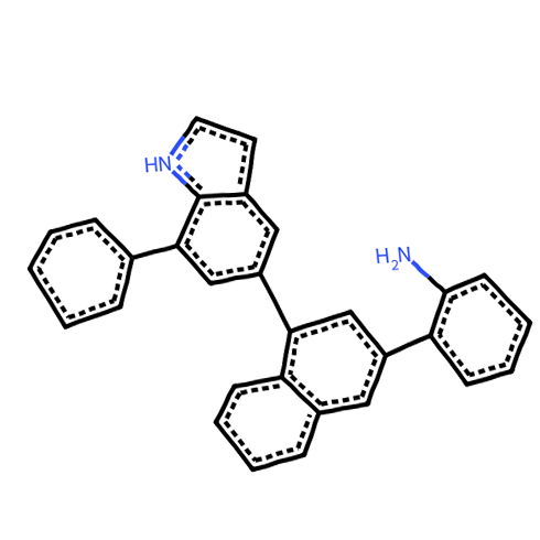 Nc1ccccc1-c1cc(-c2cc(-c3ccccc3)c3[nH]ccc3c2)c2ccccc2c1